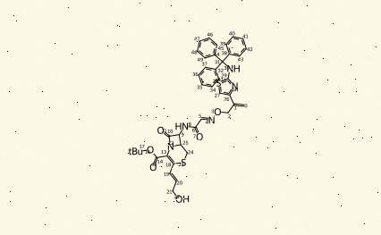 C=C(CON=CC(=O)NC1C(=O)N2C(C(=O)OC(C)(C)C)=C(/C=C/CO)SCC12)c1csc(NC(c2ccccc2)(c2ccccc2)c2ccccc2)n1